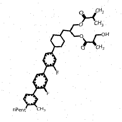 C=C(C)C(=O)OCC(COC(=O)C(=C)CO)CC1CCC(c2ccc(-c3ccc(-c4ccc(CCCCC)c(C)c4)c(F)c3)c(F)c2)CC1